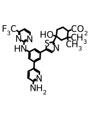 CC1(C)CC(O)(c2ncc(-c3cc(Nc4nccc(C(F)(F)F)n4)cc(-c4ccc(N)nc4)c3)s2)CCC1C(=O)O